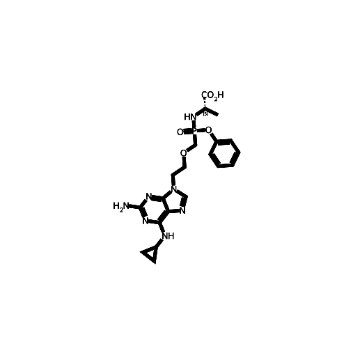 C[C@H](NP(=O)(COCCn1cnc2c(NC3CC3)nc(N)nc21)Oc1ccccc1)C(=O)O